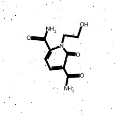 NC(=O)c1ccc(C(N)=O)n(CCO)c1=O